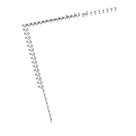 O.O.O.O.O.O.O.O.O.O.O.O.O.O.O.O.O.O.O.O.O.O.O.O.O.O.O.O.O.O.[V].[V].[V].[V].[V].[V].[V].[V].[V].[V].[V].[V].[V].[V].[V].[V]